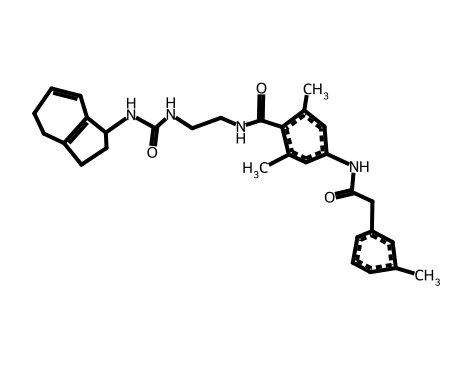 Cc1cccc(CC(=O)Nc2cc(C)c(C(=O)NCCNC(=O)NC3CCC4=C3C=CCC4)c(C)c2)c1